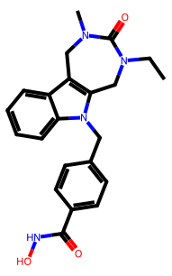 CCN1Cc2c(c3ccccc3n2Cc2ccc(C(=O)NO)cc2)CN(C)C1=O